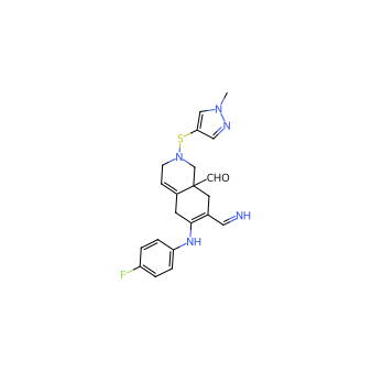 Cn1cc(SN2CC=C3CC(Nc4ccc(F)cc4)=C(C=N)CC3(C=O)C2)cn1